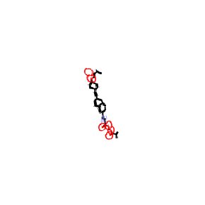 C=C(C)C(=O)COc1ccc(C#Cc2ccc3cc(/C=C/C(=O)OCOC(=O)C(=C)C)ccc3c2)cc1